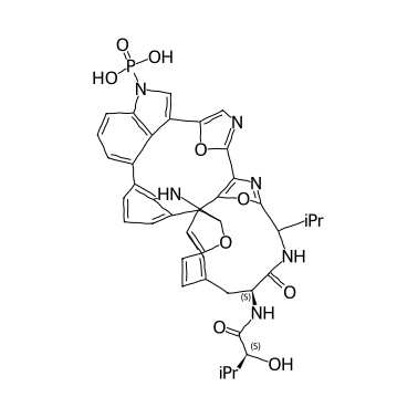 CC(C)C1NC(=O)[C@@H](NC(=O)[C@@H](O)C(C)C)Cc2ccc3c(c2)C24c5cccc(c5NC2O3)-c2cccc3c2c(cn3P(=O)(O)O)-c2cnc(o2)-c2nc1oc24